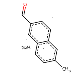 Cc1ccc2cc(C=O)ccc2c1.[NaH]